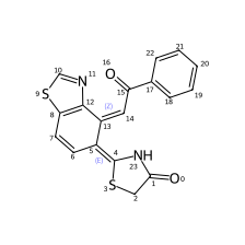 O=C1CS/C(=c2\ccc3scnc3\c2=C/C(=O)c2ccccc2)N1